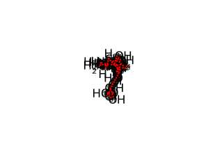 CC(C)C[C@H](NC(=O)[C@@H](CCCn1nnc2c1CC[C@H]1C(CC2)[C@H]1COC(=O)NCCOCCOCCNC(=O)c1ccc2c(c1)C(=O)OC21c2ccc(O)cc2Oc2cc(O)ccc21)NC(=O)[C@H](Cc1ccc(O)cc1)NC(=O)[C@H](CO)NC(=O)[C@H](Cc1c[nH]c2ccccc12)NC(=O)[C@H](Cc1c[nH]cn1)NC(=O)[C@@H]1CCC(=O)N1)C(=O)N[C@@H](CCCNC(=N)N)C(=O)N1CCC[C@H]1C(=O)NNC(N)=O